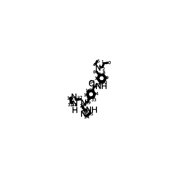 CCCN(CC)Cc1cccc(NC(=O)c2ccc(CN(Cc3ncc[nH]3)Cc3ncc[nH]3)cc2)c1